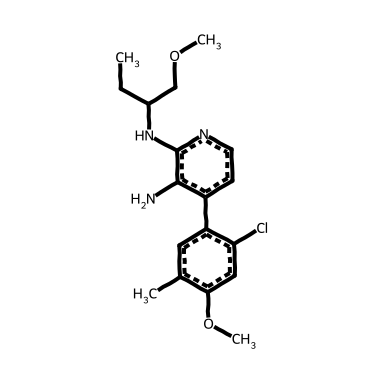 CCC(COC)Nc1nccc(-c2cc(C)c(OC)cc2Cl)c1N